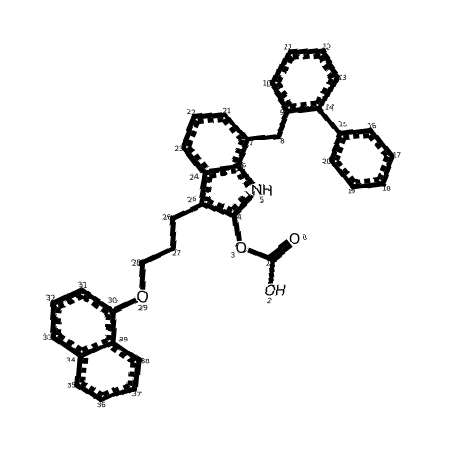 O=C(O)Oc1[nH]c2c(Cc3ccccc3-c3ccccc3)cccc2c1CCCOc1cccc2ccccc12